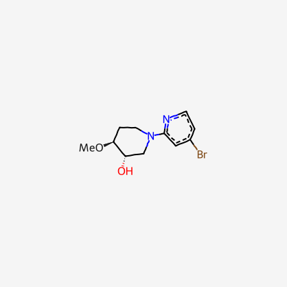 CO[C@H]1CCN(c2cc(Br)ccn2)C[C@@H]1O